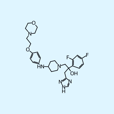 OC(Cc1nc[nH]n1)(CN1CCC(Nc2ccc(OCCN3CCOCC3)cc2)CC1)c1ccc(F)cc1F